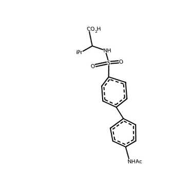 CC(=O)Nc1ccc(-c2ccc(S(=O)(=O)NC(C(=O)O)C(C)C)cc2)cc1